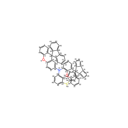 c1ccc2c(c1)Oc1ccc(N(c3cccc4c3Oc3ccccc3C43c4ccccc4-c4ccccc43)c3cccc4sc5ccccc5c34)cc1C21c2ccccc2-c2ccccc21